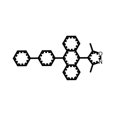 Cc1noc(C)c1-c1c2ccccc2c(-c2ccc(-c3ccccc3)cc2)c2ccccc12